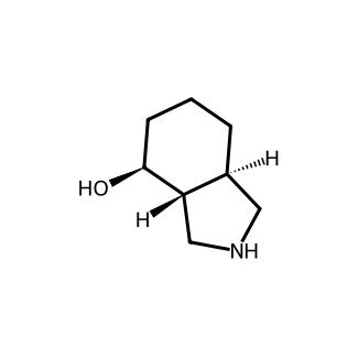 O[C@H]1CCC[C@H]2CNC[C@@H]21